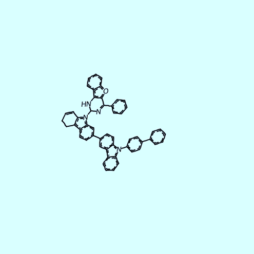 C1=Cc2c(c3ccc(-c4ccc5c(c4)c4ccccc4n5-c4ccc(-c5ccccc5)cc4)cc3n2C2N=C(c3ccccc3)c3oc4ccccc4c3N2)CC1